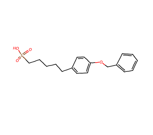 O=S(=O)(O)CCCCCc1ccc(OCc2ccccc2)cc1